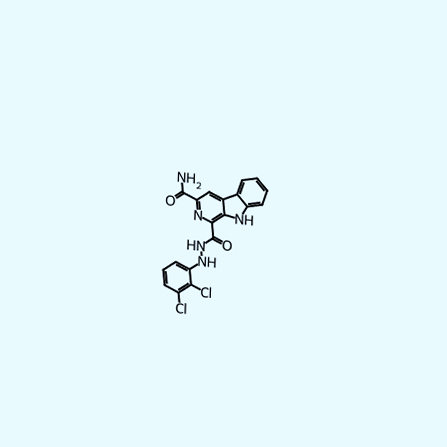 NC(=O)c1cc2c([nH]c3ccccc32)c(C(=O)NNc2cccc(Cl)c2Cl)n1